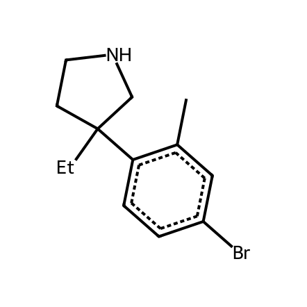 CCC1(c2ccc(Br)cc2C)CCNC1